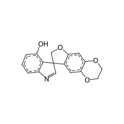 Oc1cccc2c1C1(C=N2)COc2cc3c(cc21)OCCO3